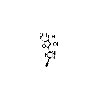 C#Cc1n[nH]c([C@@H]2O[C@H](CO)[C@@H](O)[C@H]2O)n1